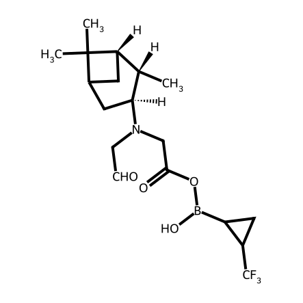 C[C@@H]1[C@@H](N(CC=O)CC(=O)OB(O)C2CC2C(F)(F)F)CC2C[C@@H]1C2(C)C